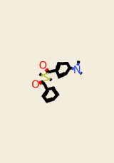 CN(C)C1C=CC(C(=O)S(C)(C)C(=O)c2ccccc2)=CC1